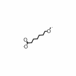 [CH2]OCCCCCCC([O])=O